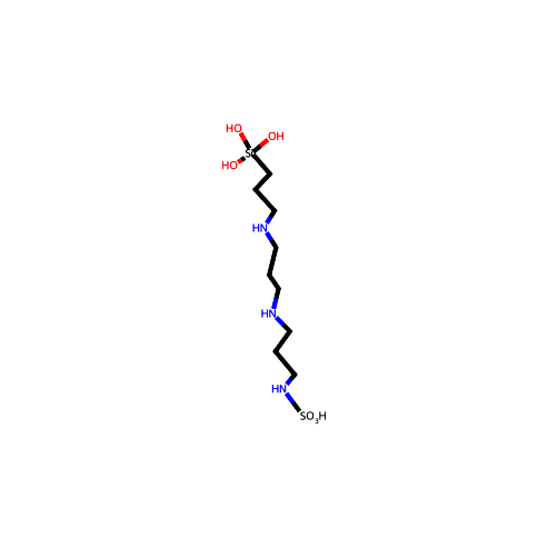 O=S(=O)(O)NCCCNCCCNCCC[Si](O)(O)O